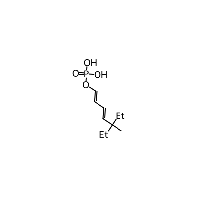 CCC(C)(C=CC=COP(=O)(O)O)CC